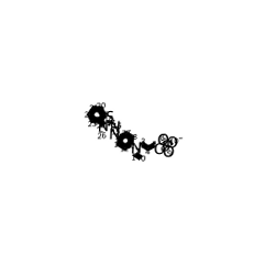 CCN(CCCOS(=O)(=O)[O-])c1ccc(N=Nc2sc3ccccc3[n+]2C)cc1